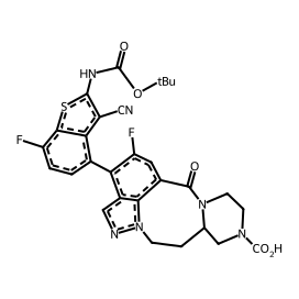 CC(C)(C)OC(=O)Nc1sc2c(F)ccc(-c3c(F)cc4c5c3cnn5CCC3CN(C(=O)O)CCN3C4=O)c2c1C#N